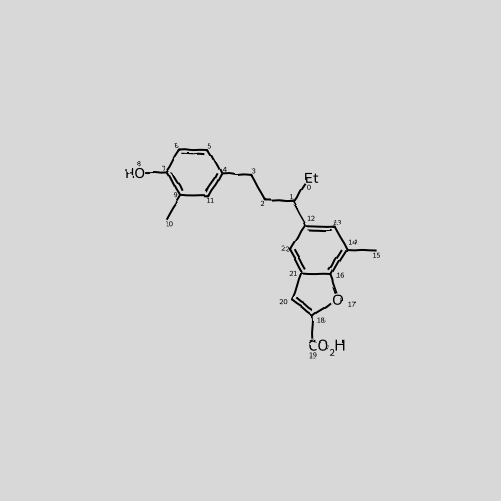 CCC(CCc1ccc(O)c(C)c1)c1cc(C)c2oc(C(=O)O)cc2c1